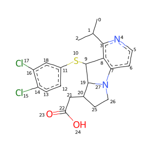 CC(C)c1nccc2c1C(Sc1ccc(Cl)c(Cl)c1)C1C(CC(=O)O)CCN21